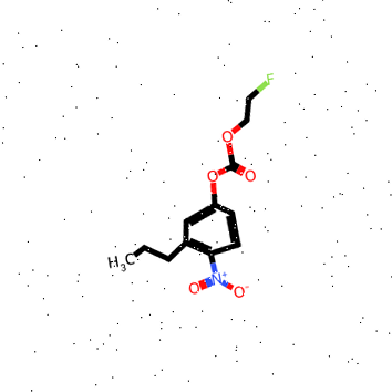 CCCc1cc(OC(=O)OCCF)ccc1[N+](=O)[O-]